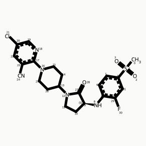 CS(=O)(=O)c1ccc(N[C@H]2CCN(C3CCN(c4ncc(Cl)cc4C#N)CC3)C2=O)c(F)c1